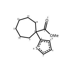 COC(=O)C1(c2cccs2)CCCCCC1